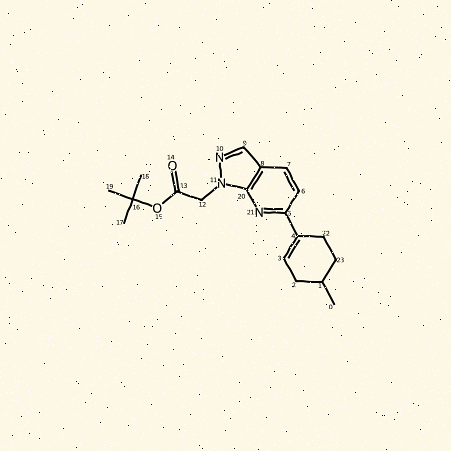 CC1CC=C(c2ccc3cnn(CC(=O)OC(C)(C)C)c3n2)CC1